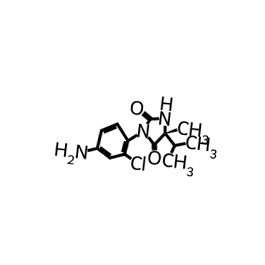 CC(C)[C@@]1(C)NC(=O)N(c2ccc(N)cc2Cl)C1=O